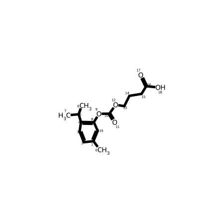 Cc1ccc(C(C)C)c(OC(=O)OCCCC(=O)O)c1